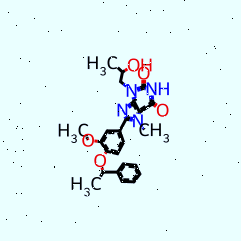 COc1cc(-c2nc3c(c(=O)[nH]c(=O)n3CC(C)O)n2C)ccc1OC(C)c1ccccc1